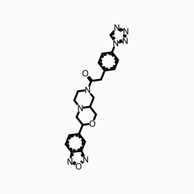 O=C(Cc1ccc(-n2cnnn2)cc1)N1CCN2CC(c3ccc4nonc4c3)OCC2C1